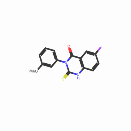 COc1cccc(-n2c(=S)[nH]c3ccc(I)cc3c2=O)c1